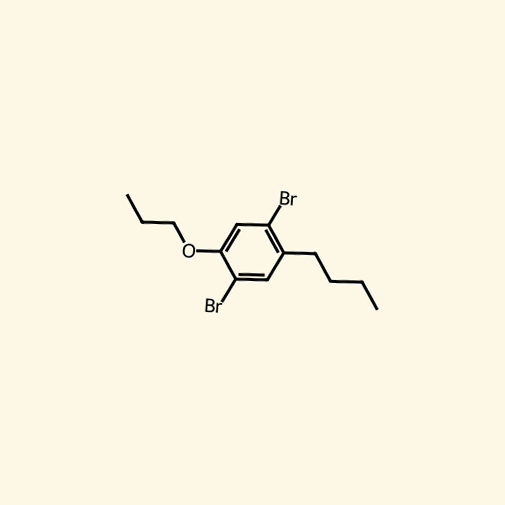 CCCCc1cc(Br)c(OCCC)cc1Br